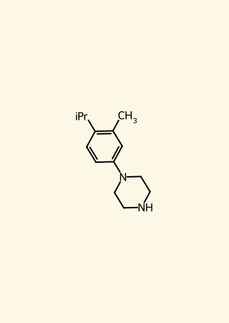 Cc1cc(N2CCNCC2)ccc1C(C)C